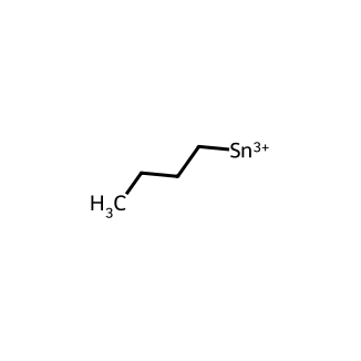 CCC[CH2][Sn+3]